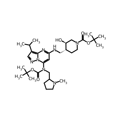 CC(C)c1cnn2c(N(CC3CCCN3C)C(=O)OC(C)(C)C)cc(NC[C@H]3CCN(C(=O)OC(C)(C)C)C[C@@H]3O)nc12